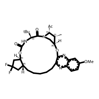 COc1ccc2nc3c(nc2c1)O[C@H]1CN(C(=O)[C@H](C(C)(C)C)NC(=O)O[C@@H]2CC(F)(F)C[C@H]2CCCCC3)[C@H](C(C)=O)[C@@H]1C